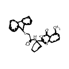 Cc1cccc2nc(C3(NC(=O)COC4c5ccccc5-c5ccccc54)CCCCC3)oc(=O)c12